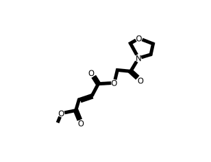 COC(=O)/C=C/C(=O)OCC(=O)N1CCOC1